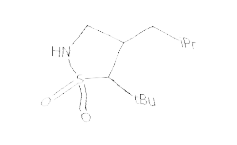 CC(C)CC1CNS(=O)(=O)C1C(C)(C)C